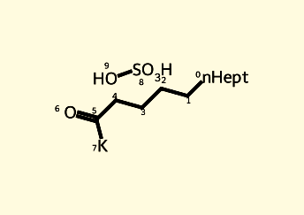 CCCCCCCCCCC[C](=O)[K].O=S(=O)(O)O